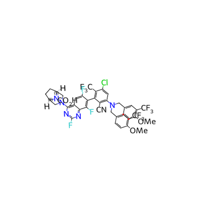 COc1ccc(CN(Cc2ccc(OC)c(C(F)(F)F)c2)c2cc(Cl)c(C(F)(F)F)c(-c3c(F)cc4c(N5C[C@H]6CC[C@@H](C5)N6C(=O)O)nc(F)nc4c3F)c2C#N)cc1C(F)(F)F